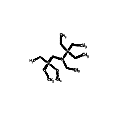 CCN(C[Si](OC)(OC)OC)[Si](CC)(CC)CC